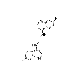 Fc1ccc2c(NCCNc3ccnc4cc(F)ccc34)ccnc2c1